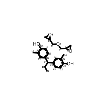 C(OCC1CO1)C1CO1.CCC(c1ccc(O)c(C)c1)c1ccc(O)c(C)c1